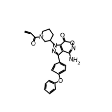 C=CC(=O)N1CCCC(n2nc(-c3ccc(Oc4ccccc4)cc3)c3c(N)noc(=O)c32)C1